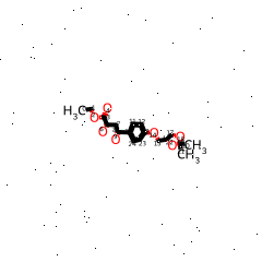 CCOC(=O)C(=O)CC(=O)c1ccc(OCC2COC(C)(C)O2)cc1